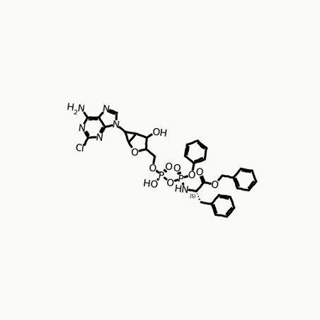 Nc1nc(Cl)nc2c1ncn2C1C2OC(COP(=O)(O)OP(=O)(N[C@@H](Cc3ccccc3)C(=O)OCc3ccccc3)Oc3ccccc3)C(O)C21